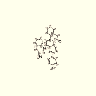 CC(C)c1ccc(-c2ccc3c4c(ccc3c2)C2=C(CCC=C2)CC4=O)cc1.N#Cc1cnc2ccccc2c1